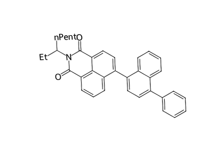 CCCCCC(CC)N1C(=O)c2cccc3c(-c4ccc(-c5ccccc5)c5ccccc45)ccc(c23)C1=O